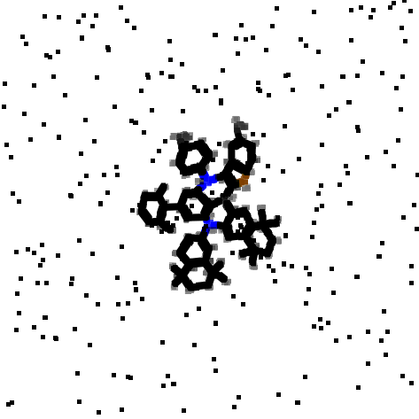 Cc1cccc(C)c1-c1cc2c3c(c1)N(c1ccc(C(C)(C)C)cc1)c1c(sc4ccc(C(C)(C)C)cc14)B3c1cc3c(cc1N2c1ccc2c(c1)C(C)(C)CCC2(C)C)C(C)(C)CCC3(C)C